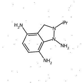 CC(C)N1Cc2c(N)ccc(N)c2N1N